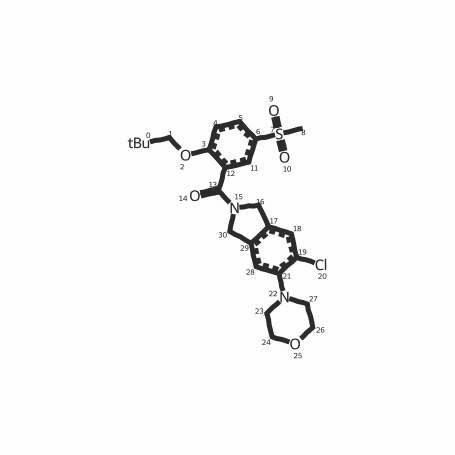 CC(C)(C)COc1ccc(S(C)(=O)=O)cc1C(=O)N1Cc2cc(Cl)c(N3CCOCC3)cc2C1